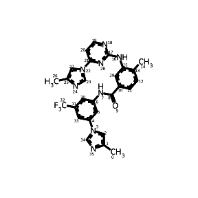 Cc1cn(-c2cc(NC(=O)c3ccc(C)c(Nc4nccc(-n5cnc(C)c5)n4)c3)cc(C(F)(F)F)c2)cn1